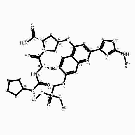 CCOP(=O)(COc1ccc2c(O[C@@H]3C[C@@H](C(N)=O)N(C(=O)[C@@H](NC(=O)OC4CCCC4)C(C)(C)C)C3)cc(-c3csc(NC(C)C)n3)nc2c1)OCC